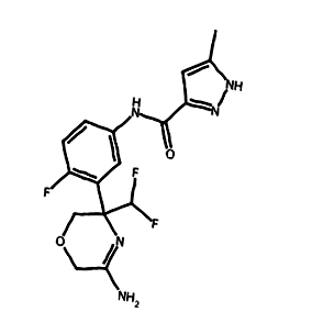 Cc1cc(C(=O)Nc2ccc(F)c(C3(C(F)F)COCC(N)=N3)c2)n[nH]1